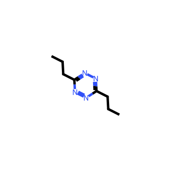 CCCc1nnc(CCC)nn1